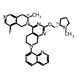 C[C@@H]1Cc2cncc(F)c2CN1c1nc(OC[C@@H]2CCCN2C)nc2c1CCN(c1cccc3cccnc13)C2